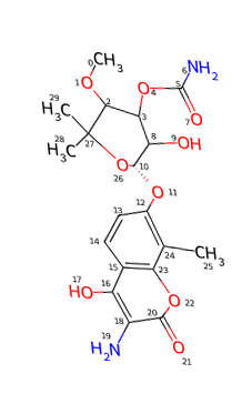 COC1C(OC(N)=O)C(O)[C@H](Oc2ccc3c(O)c(N)c(=O)oc3c2C)OC1(C)C